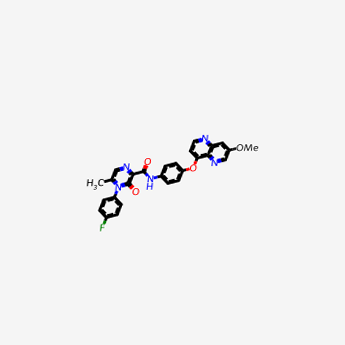 COc1cnc2c(Oc3ccc(NC(=O)c4ncc(C)n(-c5ccc(F)cc5)c4=O)cc3)ccnc2c1